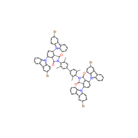 Cc1cc(-c2cc(C)c(N3C(=O)c4c(-n5c6ccccc6c6cc(Br)ccc65)ccc(-n5c6ccccc6c6cc(Br)ccc65)c4C3=O)c(C)c2)cc(C)c1N1C(=O)c2c(-n3c4ccccc4c4cc(Br)ccc43)ccc(-n3c4ccccc4c4cc(Br)ccc43)c2C1=O